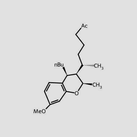 CCCC[C@@H]1c2ccc(OC)cc2O[C@H](C)[C@@H]1[C@@H](C)CCCC(C)=O